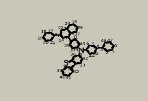 c1ccc(-c2ccc(N(c3ccc(-c4cc(-c5ccccc5)cc5ccccc45)cc3)c3ccc4c(c3)sc3ccccc34)cc2)cc1